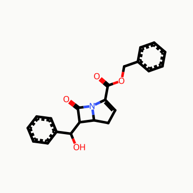 O=C(OCc1ccccc1)C1=CCC2C(C(O)c3ccccc3)C(=O)N12